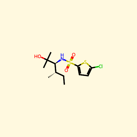 CC[C@H](C)[C@H](NS(=O)(=O)c1ccc(Cl)s1)C(C)(C)O